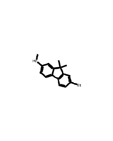 CCc1ccc2c(c1)C(C)(C)c1cc(PC)ccc1-2